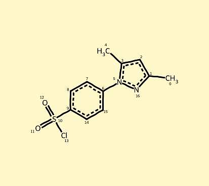 Cc1cc(C)n(-c2ccc(S(=O)(=O)Cl)cc2)n1